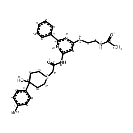 CC(=O)NCCNc1cc(NC(=O)CN2CCC(O)(c3ccc(Br)cc3)CC2)nc(-c2ccccc2)n1